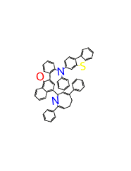 C1=C(c2ccccc2)/N=C(c2cc3c(oc4cccc(N(c5ccccc5)c5ccc6c(c5)sc5ccccc56)c43)c3ccccc23)\C=C(\c2ccccc2)CC\1